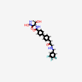 C[C@@H](O)[C@H](NC(=O)c1ccc(-c2ccc(CC(=O)CNCc3cc(F)c(F)c(F)c3)cc2)cc1)C(=O)NO